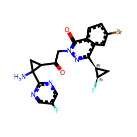 NC1(c2ncc(F)cn2)CC1C(=O)Cn1nc([C@H]2C[C@H]2F)c2cc(Br)ccc2c1=O